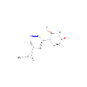 Cc1nnc(-n2ccc(=O)[nH]c2=O)cc1C1CC1C(C)C